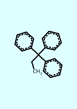 C[CH]C(c1ccccc1)(c1ccccc1)c1ccccc1